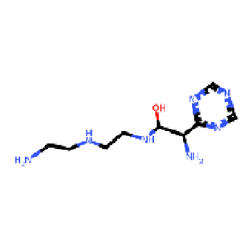 NCCNCCNC(O)C(N)c1ncncn1